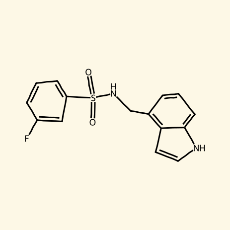 O=S(=O)(NCc1cccc2[nH]ccc12)c1cccc(F)c1